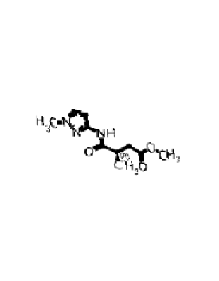 COC(=O)C[C@@H](C)C(=O)Nc1ccn(C)n1